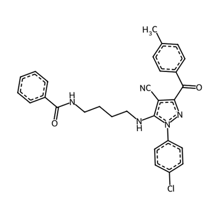 Cc1ccc(C(=O)c2nn(-c3ccc(Cl)cc3)c(NCCCCNC(=O)c3ccccc3)c2C#N)cc1